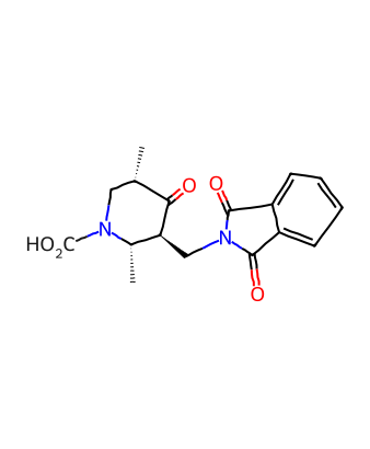 C[C@H]1CN(C(=O)O)[C@@H](C)[C@H](CN2C(=O)c3ccccc3C2=O)C1=O